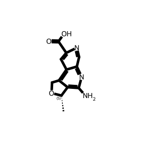 C[C@@H]1OCc2c1c(N)nc1cnc(C(=O)O)cc21